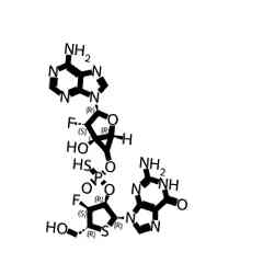 Nc1nc2c(ncn2[C@@H]2S[C@H](CO)[C@@H](F)[C@H]2OP(=O)(S)OC2[C@H]3O[C@@H](n4cnc5c(N)ncnc54)[C@@H](F)[C@@]23O)c(=O)[nH]1